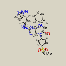 CNS(=O)(=O)c1ccc(N2C(=O)[C@@H](C)N(C3CCCCC3)c3nc(Nc4ccc5[nH]ncc5c4)ncc32)cc1